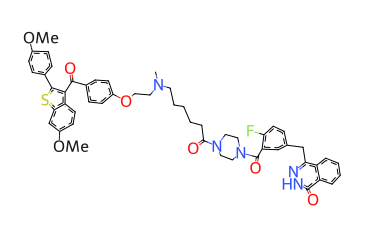 COc1ccc(-c2sc3cc(OC)ccc3c2C(=O)c2ccc(OCCN(C)CCCCCC(=O)N3CCN(C(=O)c4cc(Cc5n[nH]c(=O)c6ccccc56)ccc4F)CC3)cc2)cc1